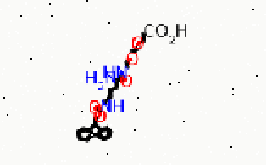 NC(CCCCNC(=O)OCC1c2ccccc2-c2ccccc21)C(=O)NCCOCCOCCC(=O)O